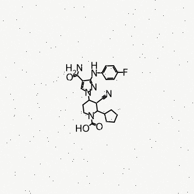 N#CC1C(C2CCCC2)N(C(=O)O)CCC1n1cc(C(N)=O)c(Nc2ccc(F)cc2)n1